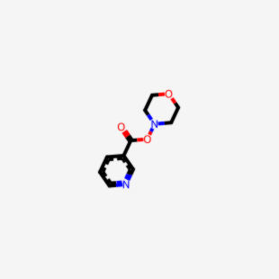 O=C(ON1CCOCC1)c1cccnc1